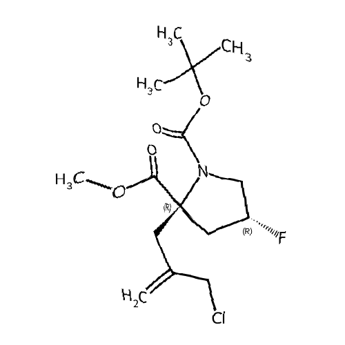 C=C(CCl)C[C@]1(C(=O)OC)C[C@@H](F)CN1C(=O)OC(C)(C)C